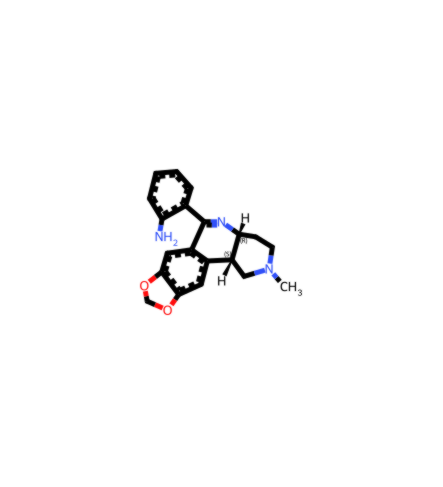 CN1CC[C@H]2N=C(c3ccccc3N)c3cc4c(cc3[C@H]2C1)OCO4